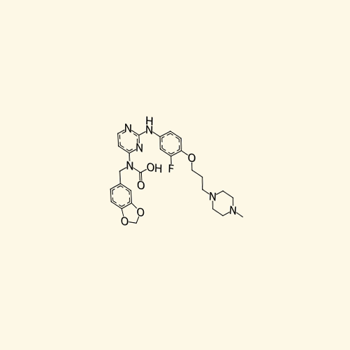 CN1CCN(CCCOc2ccc(Nc3nccc(N(Cc4ccc5c(c4)OCO5)C(=O)O)n3)cc2F)CC1